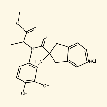 COC(=O)C(C)N(C(=O)C1(N)Cc2ccccc2C1)c1ccc(O)c(O)c1.Cl